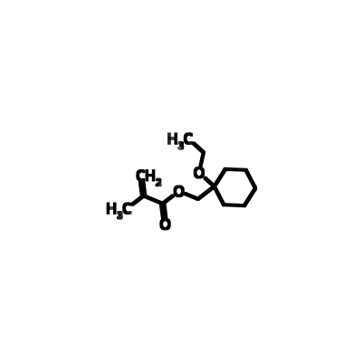 C=C(C)C(=O)OCC1(OCC)CCCCC1